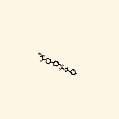 CC(C)(O)C(=O)N1CCC(c2ccc(NC(=O)N3CC(c4cccnc4)C3)cc2)CC1